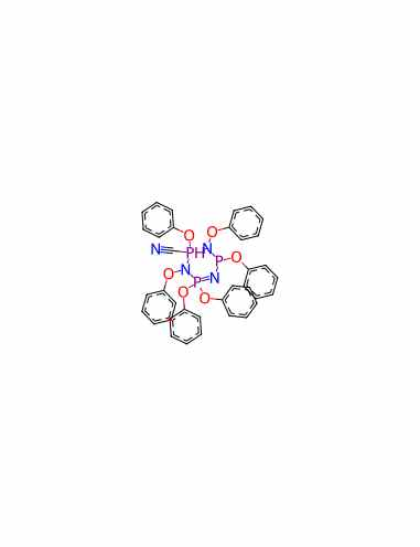 N#C[PH]1(Oc2ccccc2)N(Oc2ccccc2)P(Oc2ccccc2)N=P(Oc2ccccc2)(Oc2ccccc2)N1Oc1ccccc1